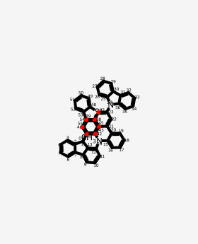 CC12c3ccccc3-c3cccc(c31)N(c1ccccc1-c1cc(-n3c4ccccc4c4ccccc43)cc3ccccc13)c1cc3sc4ccccc4c3cc12